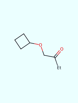 CCC(=O)COC1CCC1